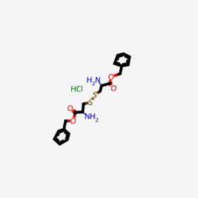 Cl.N[C@@H](CSSC[C@H](N)C(=O)OCc1ccccc1)C(=O)OCc1ccccc1